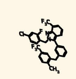 Cc1ccc(C(F)(F)F)cc1Cc1cccc(-c2c3cccc(C(F)(F)F)c3nn2Cc2ccc(Cl)cc2F)c1